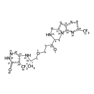 C[C@@H](COCCC(=O)C1Cn2c(cc3ccc(C(F)(F)F)nc32)CN1)Nc1cn[nH]c(=O)c1C(F)(F)F